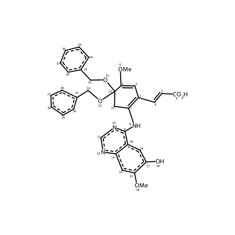 COC1=CC(/C=C/C(=O)O)=C(Nc2ncnc3cc(OC)c(O)cc23)CC1(OCc1ccccc1)OCc1ccccc1